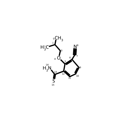 CC(C)COc1c(C#N)cccc1C(N)=S